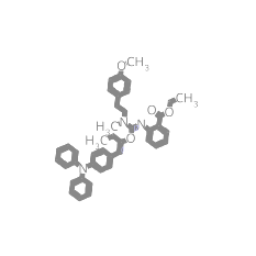 CCOC(=O)c1ccccc1/N=C(\O/C(=C/c1ccc(N(c2ccccc2)c2ccccc2)cc1)CC)N(C)CCc1ccc(OC)cc1